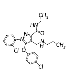 CCCNCc1c(C(=O)NCC)nn(-c2ccccc2Cl)c1Oc1ccc(Cl)cc1